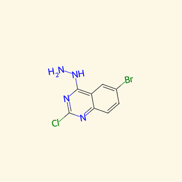 NNc1nc(Cl)nc2ccc(Br)cc12